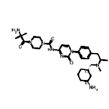 CC(Cc1ccc(-n2ccc(NC(=O)N3CCN(C(=O)C(C)(C)N)CC3)nc2=O)cc1)N(C)C[C@H]1CCC[C@H](N)C1